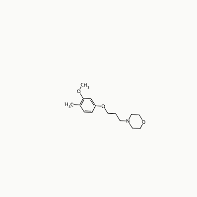 COc1cc(OCCCN2CCOCC2)ccc1C